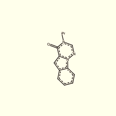 CC(C)n1cnn2c(cc3ccccc32)c1=O